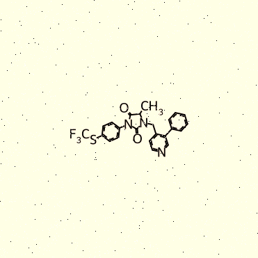 CC1C(=O)N(c2ccc(SC(F)(F)F)cc2)C(=O)N1Cc1ccncc1-c1ccccc1